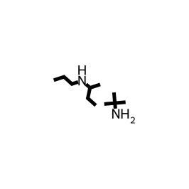 CC(C)(C)N.CCCNC(C)CC